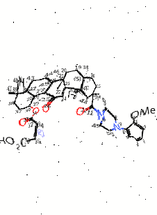 COc1ccccc1N1CCN(C(=O)C2(C)CC[C@]3(C)CC[C@]4(C)C(=CC(=O)C5[C@@]6(C)C(OC(=O)/C=C\C(=O)O)CCC(C)(C)[C@H]6CC[C@]54C)[C@@H]3C2)CC1